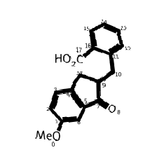 COc1ccc2c(c1)C(=O)C(Cc1ccccc1C(=O)O)C2